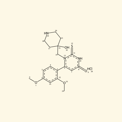 COc1ccc(-c2cc(=O)[nH]c(=S)n2CC2(O)CCNCC2)c(OC)c1.Cl